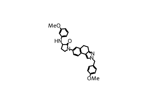 COc1ccc(Cn2cc3c(n2)CCc2cc(N4CCC(Nc5cccc(OC)c5)C4=O)ccc2-3)cc1